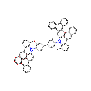 Cc1cc(-c2ccc(N(c3ccc4c5ccccc5c5ccccc5c4c3)c3c(C)cccc3-c3ccc4ccccc4c3)c(C)c2)ccc1N(c1ccc2c3ccccc3c3ccccc3c2c1)c1c(C)cccc1-c1ccc2ccccc2c1